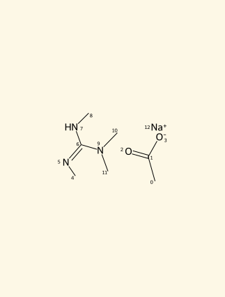 CC(=O)[O-].CN=C(NC)N(C)C.[Na+]